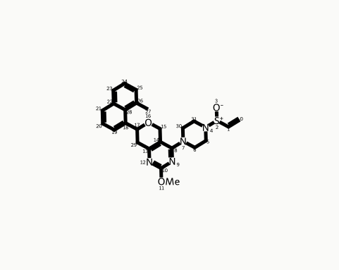 C=C[S+]([O-])N1CCN(c2nc(OC)nc3c2COC(c2cccc4cccc(C)c24)C3)CC1